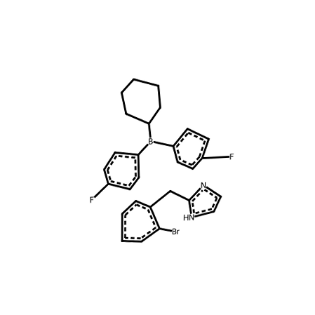 Brc1ccccc1Cc1ncc[nH]1.Fc1ccc(B(c2ccc(F)cc2)C2CCCCC2)cc1